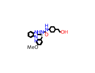 COc1ccc(C[C@@H](NC(=O)NC2CCC(CCO)CC2)c2nc3ccccc3[nH]2)cc1